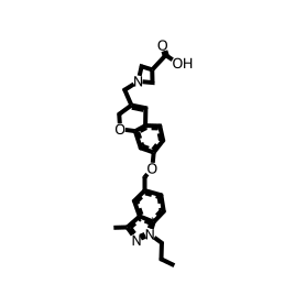 CCCn1nc(C)c2cc(COc3ccc4c(c3)OCC(CN3CC(C(=O)O)C3)=C4)ccc21